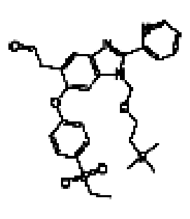 CCS(=O)(=O)c1ccc(Oc2cc3c(cc2CC=O)nc(-c2ccccn2)n3COCC[Si](C)(C)C)cc1